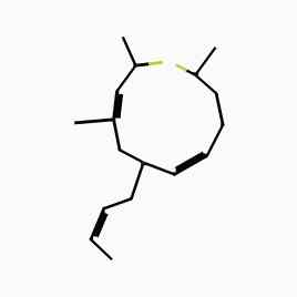 C/C=C\CC1/C=C\CCC(C)SC(C)/C=C(/C)C1